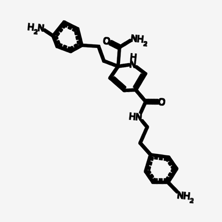 NC(=O)C1(CCc2ccc(N)cc2)C=CC(C(=O)NCCc2ccc(N)cc2)=CN1